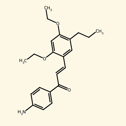 CCCc1cc(C=CC(=O)c2ccc(N)cc2)c(OCC)cc1OCC